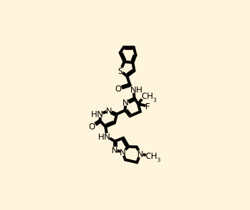 CN1CCn2nc(Nc3cc(C4=CCC(C)(F)C(NC(=O)c5cc6ccccc6s5)=N4)n[nH]c3=O)cc2C1